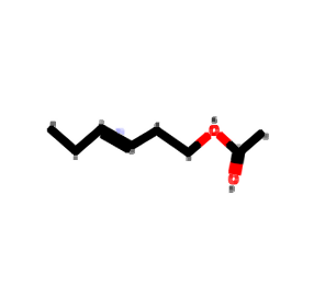 CC/C=C/CCOC(C)=O